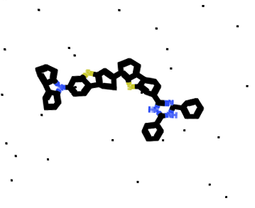 c1ccc(C2N=C(c3ccc4c(c3)sc3c(-c5ccc6c(c5)sc5cc(-n7c8ccccc8c8ccccc87)ccc56)cccc34)NC(c3ccccc3)N2)cc1